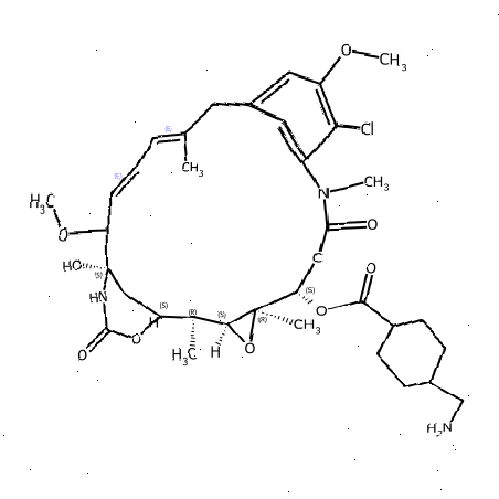 COc1cc2cc(c1Cl)N(C)C(=O)C[C@H](OC(=O)C1CCC(CN)CC1)[C@@]1(C)O[C@H]1[C@H](C)[C@@H]1C[C@@](O)(NC(=O)O1)C(OC)/C=C/C=C(\C)C2